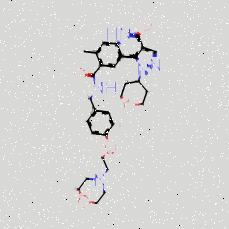 Cc1cc2[nH]c(=O)c3cnn(C4CCOCC4)c3c2cc1C(=O)NCc1ccc(OCCN2CCOCC2)cc1